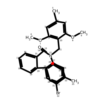 COc1cc(C)cc(OC)c1CN(C(=O)c1ccccc1-c1ccc(C)cc1)c1ccc(Br)cc1